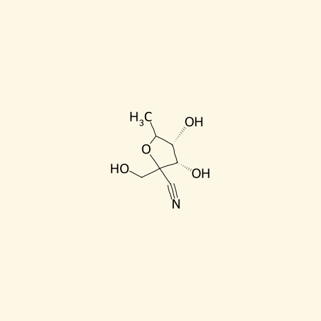 CC1OC(C#N)(CO)[C@@H](O)[C@H]1O